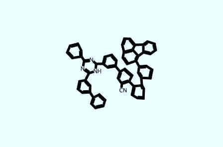 N#Cc1cc(-c2cccc(C3N=C(c4ccccc4)N=C(c4cccc(-c5ccccc5)c4)N3)c2)ccc1-c1ccccc1-c1cccc(-c2ccc3cccc4c3c2-c2ccccc2-4)c1